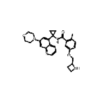 Cc1ccc(OCC2CCN2)cc1C(=O)NC1(c2cc(N3CCOCC3)cc3ncccc23)CC1